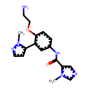 Cn1cncc1C(=O)Nc1ccc(OCCN)c(-c2ccnn2C)c1